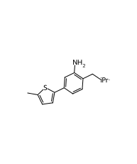 C[C](C)Cc1ccc(-c2ccc(C)s2)cc1N